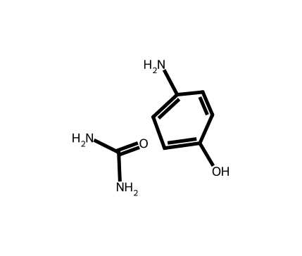 NC(N)=O.Nc1ccc(O)cc1